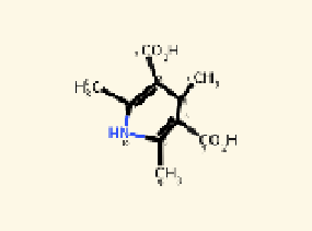 CC1=C(C(=O)O)C(C)C(C(=O)O)=C(C)N1